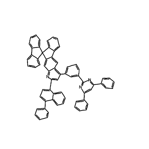 c1ccc(-c2cc(-c3ccccc3)nc(-c3cccc(-c4cc(-c5ccc(-c6ccccc6)c6ccccc56)nc5cc6c(cc45)-c4ccccc4C64c5ccccc5-c5ccccc54)c3)n2)cc1